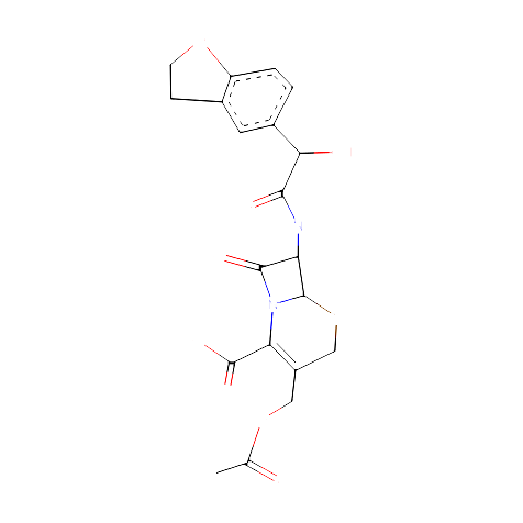 CC(=O)OCC1=C(C(=O)O)N2C(=O)C(NC(=O)C(O)c3ccc4c(c3)CCO4)C2SC1